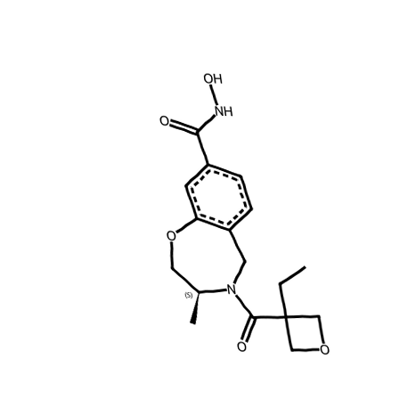 CCC1(C(=O)N2Cc3ccc(C(=O)NO)cc3OC[C@@H]2C)COC1